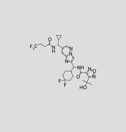 CC(C)(O)c1nonc1C(=O)NC(c1cn2ncc([C@H](NC(=O)CCC(F)(F)F)C3CC3)cc2n1)C1CCC(F)(F)CC1